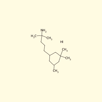 CC1CC(CCCC(C)(C)N)CC(C)(C)C1.I